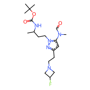 CC(CCn1nc(CCN2CC(F)C2)cc1N(C)C=O)NC(=O)OC(C)(C)C